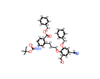 CC(C)(C)OC(=O)Nc1ccc(C(=O)OCc2ccccc2)c(CCCOc2c(C=O)cc(C#N)cc2OCc2ccccc2)c1